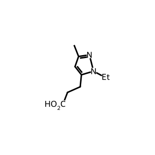 CCn1nc(C)cc1CCC(=O)O